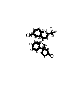 O=C1CCC(CNc2cc(C(F)(F)F)nc3ccc(Cl)cc23)(c2ccccc2)C1